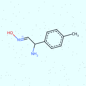 Cc1ccc(C(N)/C=N/O)cc1